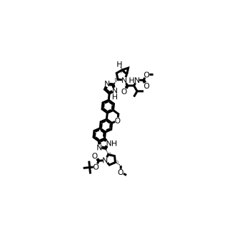 COC[C@H]1C[C@@H](c2nc3ccc4cc5c(cc4c3[nH]2)OCc2cc(-c3cnc([C@@H]4C[C@H]6CC6N4C(=O)C(NC(=O)OC)C(C)C)[nH]3)ccc2-5)N(C(=O)OC(C)(C)C)C1